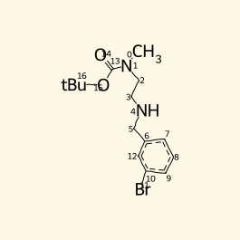 CN(CCNCc1cccc(Br)c1)C(=O)OC(C)(C)C